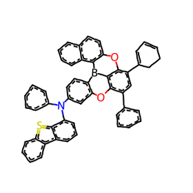 C1=CCCC(c2cc(-c3ccccc3)c3c4c2Oc2ccc5ccccc5c2B4c2ccc(N(c4ccccc4)c4cccc5c4sc4ccccc45)cc2O3)=C1